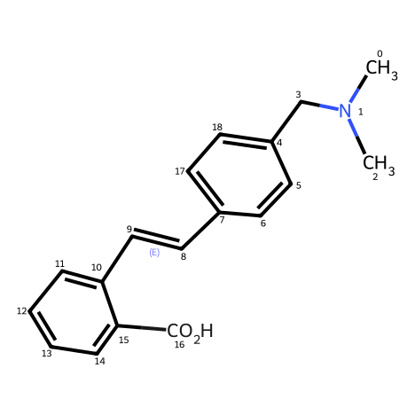 CN(C)Cc1ccc(/C=C/c2ccccc2C(=O)O)cc1